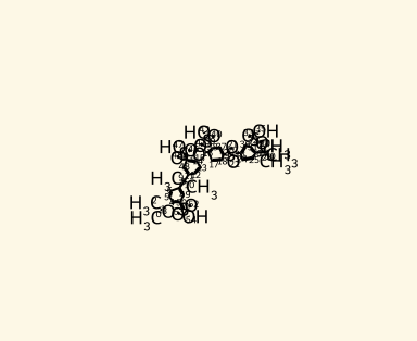 CC(C)Oc1ccc(C(C)(C)c2ccc(Oc3ccc(S(=O)(=O)c4ccc(C(C)(C)C)c(S(=O)(=O)O)c4)cc3S(=O)(=O)O)c(S(=O)(=O)O)c2)cc1S(=O)(=O)O